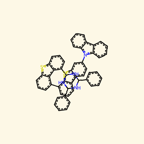 c1ccc(C2NC(c3ccccc3)NC(c3cccc4sc5cccc(-c6cccc7c6sc6cc(-n8c9ccccc9c9ccccc98)ccc67)c5c34)N2)cc1